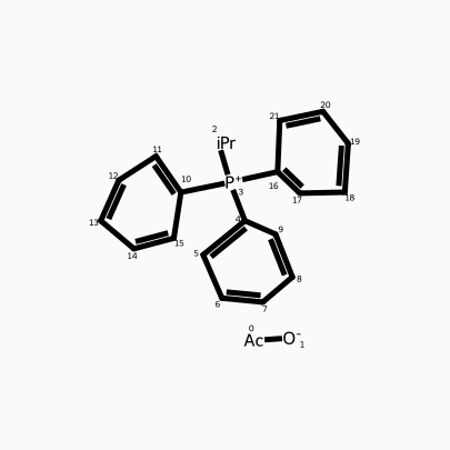 CC(=O)[O-].CC(C)[P+](c1ccccc1)(c1ccccc1)c1ccccc1